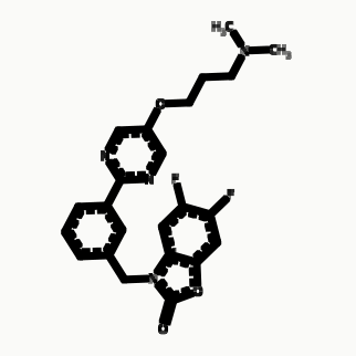 CN(C)CCCOc1cnc(-c2cccc(Cn3c(=O)oc4cc(F)c(F)cc43)c2)nc1